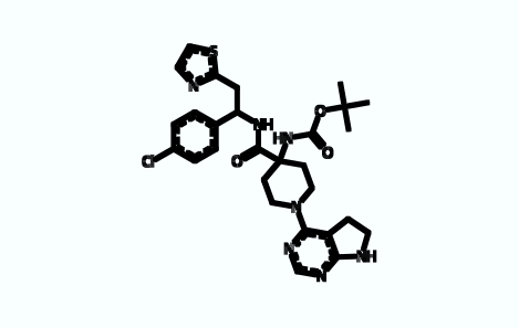 CC(C)(C)OC(=O)NC1(C(=O)NC(Cc2nccs2)c2ccc(Cl)cc2)CCN(c2ncnc3c2CCN3)CC1